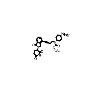 CC(C)(C)OC(=O)N(CCC#Cc1cccc2c1CN(C1CCC(=O)NC1=O)C2=O)[C@H]1CC[C@H](N=[N+]=[N-])CC1